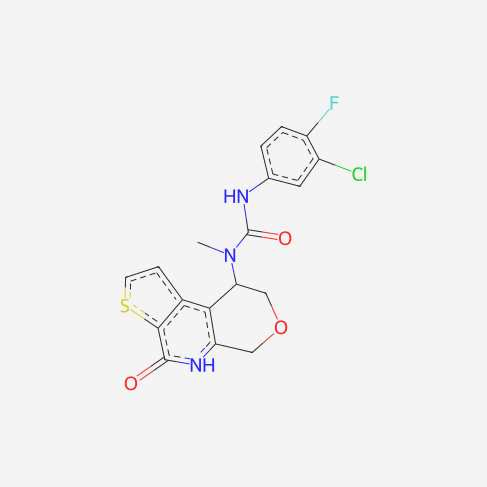 CN(C(=O)Nc1ccc(F)c(Cl)c1)C1COCc2[nH]c(=O)c3sccc3c21